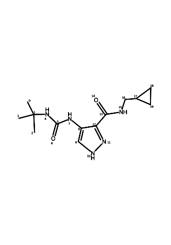 CC(C)(C)NC(=O)Nc1c[nH]nc1C(=O)NCC1CC1